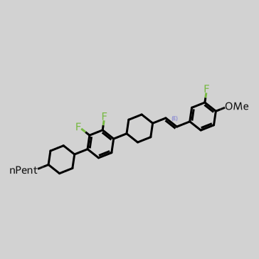 CCCCCC1CCC(c2ccc(C3CCC(/C=C/c4ccc(OC)c(F)c4)CC3)c(F)c2F)CC1